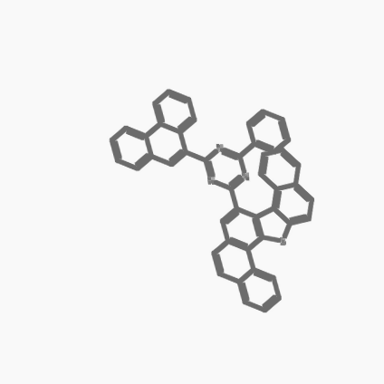 c1ccc(-c2nc(-c3cc4ccccc4c4ccccc34)nc(-c3cc4ccc5ccccc5c4c4sc5ccc6ccccc6c5c34)n2)cc1